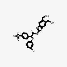 CCS(=O)(=O)c1ccc(C(Oc2cccc(Cl)c2)C(=O)Nc2nc3cc(CO)c(CO)cc3s2)cc1